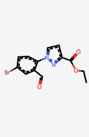 CCOC(=O)c1ccn(-c2ccc(Br)cc2C=O)n1